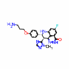 Cn1ncnc1[C@@H]1c2n[nH]c(=O)c3cc(F)cc(c23)N[C@H]1c1ccc(OCCCN)cc1